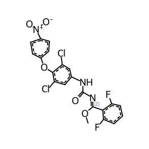 CO/C(=N\C(=O)Nc1cc(Cl)c(Oc2ccc([N+](=O)[O-])cc2)c(Cl)c1)c1c(F)cccc1F